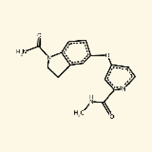 CNC(=O)c1cc(Oc2ccc3c(c2)CCN3C(N)=O)ccn1